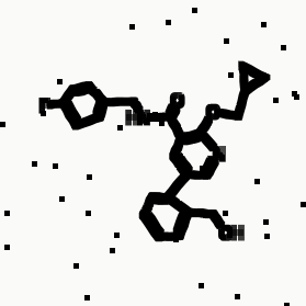 O=C(NCc1ccc(F)cc1)c1cc(-c2ccccc2CO)cnc1OCC1CC1